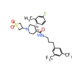 Cc1cc(F)ccc1[C@H]1CN(C2CS(=O)(=O)C2)CC[C@@H]1C(=O)NCCCc1cc(C(F)(F)F)cc(C(F)(F)F)c1